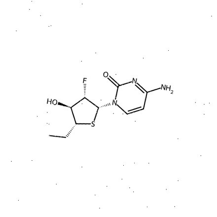 CC[C@H]1S[C@@H](n2ccc(N)nc2=O)[C@@H](F)[C@@H]1O